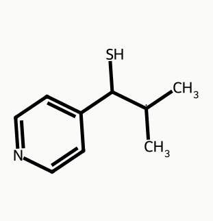 C[C](C)C(S)c1ccncc1